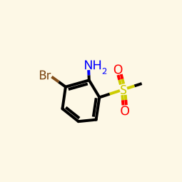 CS(=O)(=O)c1cccc(Br)c1N